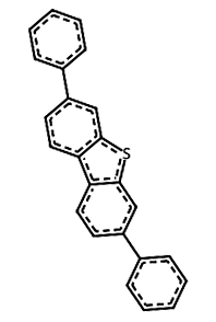 c1ccc(-c2ccc3c(c2)sc2cc(-c4ccccc4)ccc23)cc1